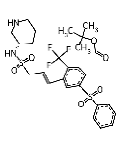 CC(C)(C)OC=O.O=S(=O)(CC=Cc1cc(S(=O)(=O)c2ccccc2)ccc1C(F)(F)F)N[C@H]1CCCNC1